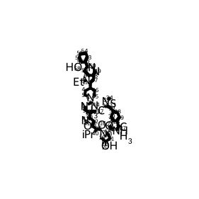 CCn1c(C2CCN(c3ncc(-c4cc(C(C(=O)N5C[C@H](O)C[C@H]5C(=O)NC(C)c5ccc(-c6scnc6C)cc5)C(C)C)on4)cn3)CC2)cc2nnc(-c3ccccc3O)cc21